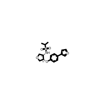 CC(C)S(=O)(=O)N[C@H]1COC[C@H]1Oc1ccc(-c2ccoc2)cc1